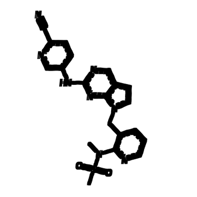 CN(c1ncccc1Cn1ccc2cnc(Nc3ccc(C#N)nc3)nc21)S(C)(=O)=O